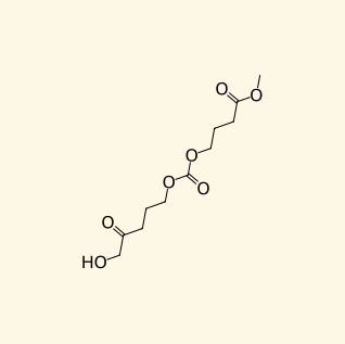 COC(=O)CCCOC(=O)OCCCC(=O)CO